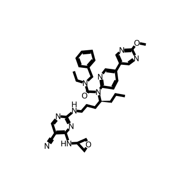 CCC[C@@H](CCCNc1ncc(C#N)c(NC2COC2)n1)N(C(=O)N(CC)Cc1ccccc1)c1ccc(-c2cnc(OC)nc2)cn1